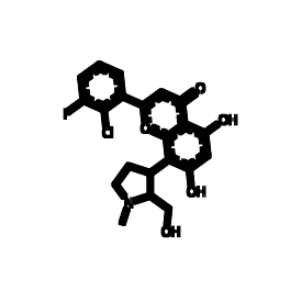 CN1CCC(c2c(O)cc(O)c3c(=O)cc(-c4cccc(I)c4Cl)oc23)C1CO